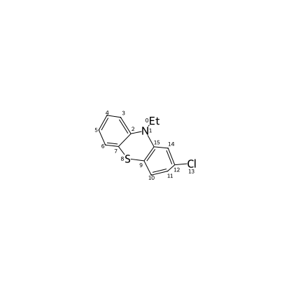 CCN1c2ccccc2Sc2ccc(Cl)cc21